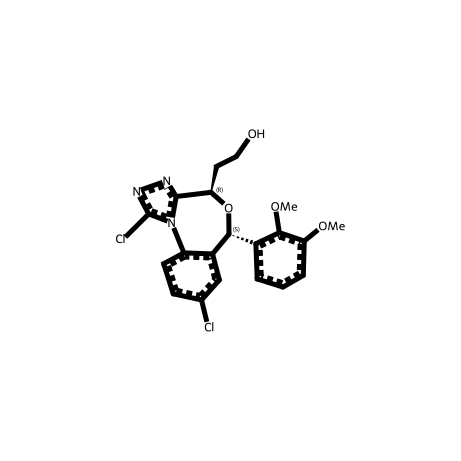 COc1cccc([C@H]2O[C@H](CCO)c3nnc(Cl)n3-c3ccc(Cl)cc32)c1OC